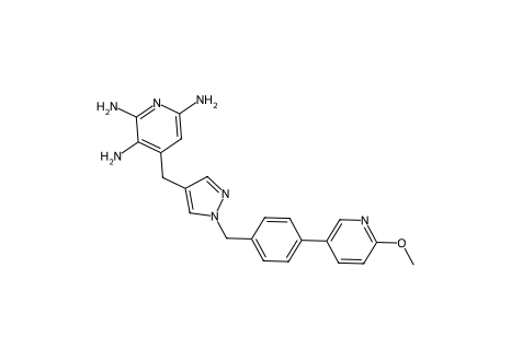 COc1ccc(-c2ccc(Cn3cc(Cc4cc(N)nc(N)c4N)cn3)cc2)cn1